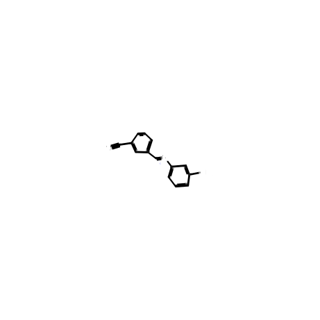 Cc1cccc(/N=C/c2cccc(C#N)c2)c1